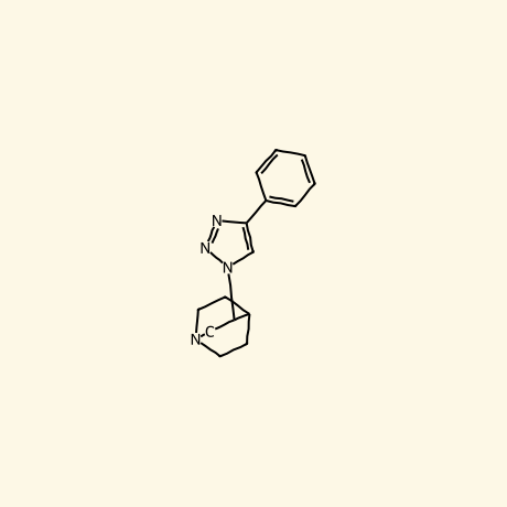 c1ccc(-c2cn(C3CN4CCC3CC4)nn2)cc1